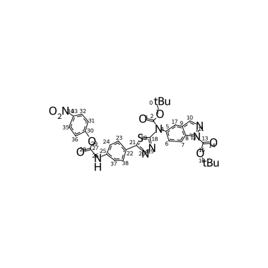 CC(C)(C)OC(=O)N(c1ccc2c(cnn2C(=O)OC(C)(C)C)c1)c1nnc(-c2ccc(NC(=O)Oc3ccc([N+](=O)[O-])cc3)cc2)s1